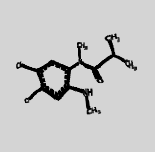 CNc1cc(Cl)c(Cl)cc1N(C)C(=O)C(C)C